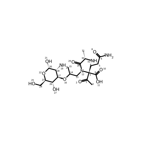 CC(=O)[C@@](CCC(N)=O)(C(=O)O)N(CC(C)O[C@@H]1[C@@H](N)[C@@H](O)O[C@H](CO)[C@H]1O)C(=O)[C@H](C)N